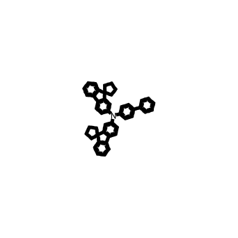 c1ccc(-c2ccc(N(c3ccc4c(c3)C3(CCCC3)c3ccccc3-4)c3ccc4c(c3)C3(CCCC3)c3ccccc3-4)cc2)cc1